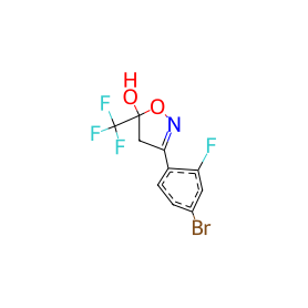 OC1(C(F)(F)F)CC(c2ccc(Br)cc2F)=NO1